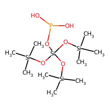 C[Si](C)(C)O[Si](OP(O)O)(O[Si](C)(C)C)O[Si](C)(C)C